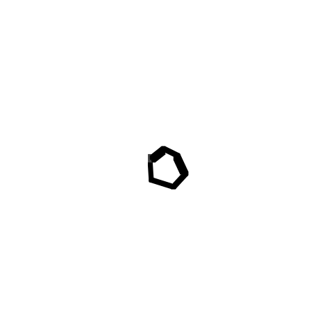 C1=CCCI=C1